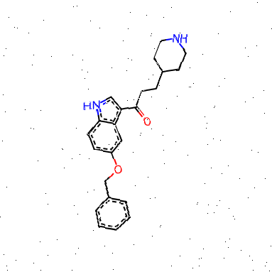 O=C(CCC1CCNCC1)c1c[nH]c2ccc(OCc3ccccc3)cc12